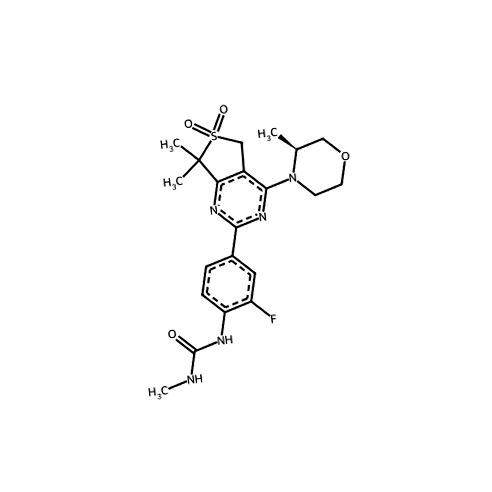 CNC(=O)Nc1ccc(-c2nc(N3CCOC[C@@H]3C)c3c(n2)C(C)(C)S(=O)(=O)C3)cc1F